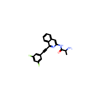 CC(N)C(=O)Nc1cc2ccccc2c(C#Cc2cc(F)cc(F)c2)n1